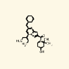 CCC(CC)c1cc(CC2CCCCC2)nc2cc(C(=O)N3CCC(O)CC3(C)C)nn12